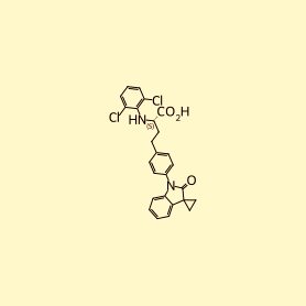 O=C(O)[C@H](CCc1ccc(N2C(=O)C3(CC3)c3ccccc32)cc1)Nc1c(Cl)cccc1Cl